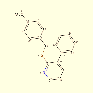 COc1ccc(CSc2ncccc2-c2ccccc2)cc1